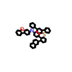 c1ccc(-c2ccc3ccccc3c2)c(-c2ccc(N(c3ccc4c(c3)oc3ccccc34)c3ccccc3-c3ccc4sc5ccccc5c4c3)cc2)c1